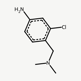 CN(C)Cc1ccc(N)cc1Cl